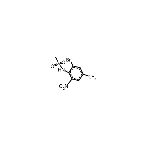 CS(=O)(=O)Nc1c(Br)cc(C(F)(F)F)cc1[N+](=O)[O-]